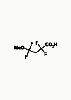 COC(F)(F)CC(F)(F)C(=O)O